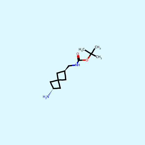 CC(C)(C)OC(=O)NC[C@H]1CC2(C[C@@H](N)C2)C1